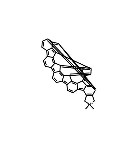 C[N+]1(C)Cc2c(c3c4ccc5c6ccc7c8ccc9c%10ccc%11c2c2c3c3c4c5c4c6c7c5c8c9c6c%10c%11c2c2c6c5c4c32)C1